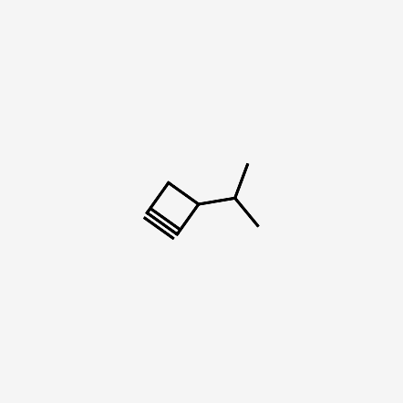 CC(C)C1C#CC1